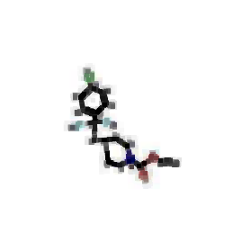 CC(C)(C)OC(=O)N1CCC(CC(F)(F)c2ccc(Cl)cc2)CC1